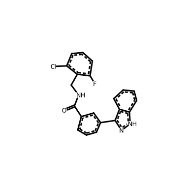 O=C(NCc1c(F)cccc1Cl)c1cccc(-c2n[nH]c3ccccc23)c1